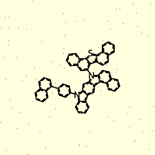 c1ccc2c(-c3ccc(-n4c5ccccc5c5cc6c7c8ccccc8ccc7n(-c7cc8ccccc8c8sc9c%10ccccc%10ccc9c78)c6cc54)cc3)cccc2c1